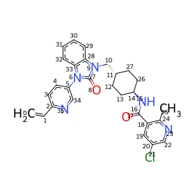 C=Cc1ccc(-n2c(=O)n(C[C@H]3CC[C@H](NC(=O)c4cc(Cl)cnc4C)CC3)c3ccccc32)cn1